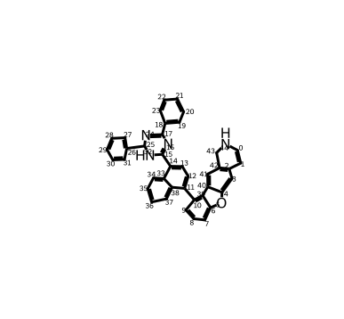 C1=Cc2cc3oc4cccc(-c5ccc(C6=NC(c7ccccc7)=NC(c7ccccc7)N6)c6ccccc56)c4c3cc2CN1